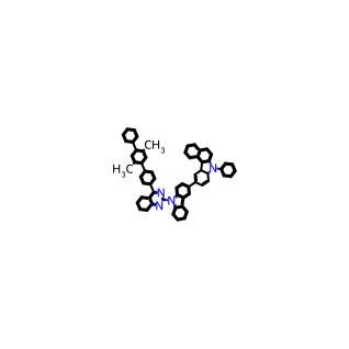 Cc1cc(-c2ccc(-c3nc(-n4c5ccccc5c5cc(C6=CC7c8c(ccc9ccccc89)N(c8ccccc8)C7C=C6)ccc54)nc4ccccc34)cc2)c(C)cc1-c1ccccc1